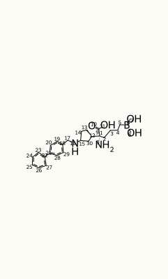 N[C@@](CCCCB(O)O)(C(=O)O)[C@@H]1CC[C@H](NCc2ccc(-c3ccccc3)cc2)C1